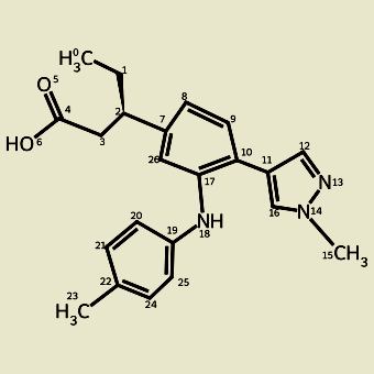 CC[C@H](CC(=O)O)c1ccc(-c2cnn(C)c2)c(Nc2ccc(C)cc2)c1